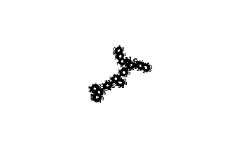 c1ccc2cc3c(ccc4c3nc3c5sc6cc7ccccc7cc6c5cc(-c5ccc(-c6ccc(-c7ccc(-c8cc9cccnc9c9ccccc89)cc7)c7ccccc67)cc5)n43)cc2c1